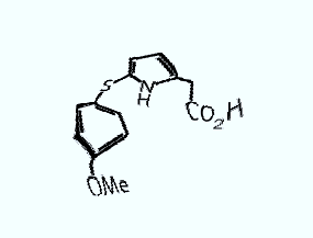 COc1ccc(Sc2ccc(CC(=O)O)[nH]2)cc1